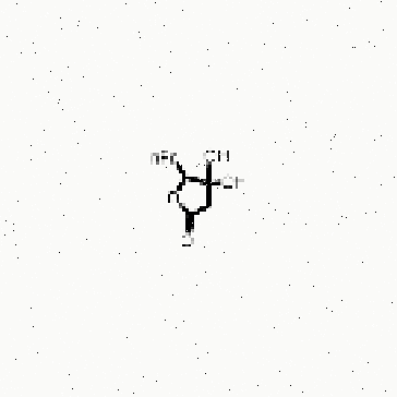 CCCC1OC(=O)CC1(O)O